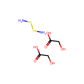 NSSN.O=C(O)CO.O=C(O)CO